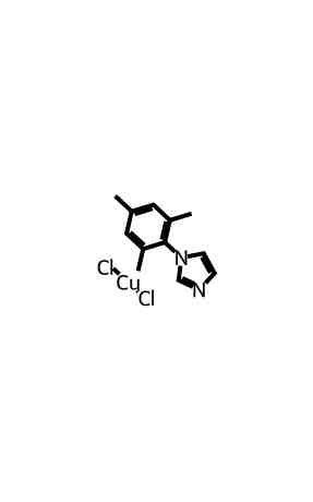 Cc1cc(C)c(-n2ccnc2)c(C)c1.[Cl][Cu][Cl]